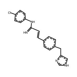 N=C(/C=C/c1ccc(Cc2c[nH]cn2)cc1)Nc1ccc(Cl)cc1